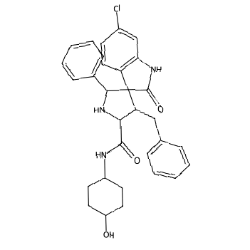 O=C(NC1CCC(O)CC1)C1NC(c2ccccc2)C2(C(=O)Nc3cc(Cl)ccc32)C1Cc1ccccc1